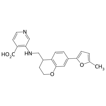 Cc1ccc(-c2ccc3c(c2)OCCC3CNc2cnccc2C(=O)O)o1